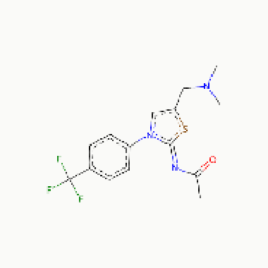 CC(=O)N=c1sc(CN(C)C)cn1-c1ccc(C(F)(F)F)cc1